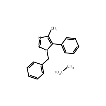 CC(=O)O.Cc1nnn(Cc2ccccc2)c1-c1ccccc1